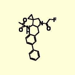 CS(=O)(=O)NC1C(Cc2cccc(-c3ccccc3)c2)N(C(=O)CF)CC12CC2